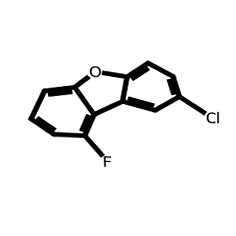 Fc1cccc2oc3ccc(Cl)cc3c12